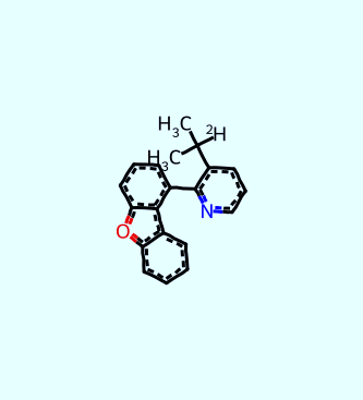 [2H]C(C)(C)c1cccnc1-c1cccc2oc3ccccc3c12